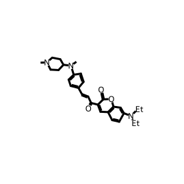 CCN(CC)c1ccc2cc(C(=O)C=Cc3ccc(N(C)C4CCN(C)CC4)cc3)c(=O)oc2c1